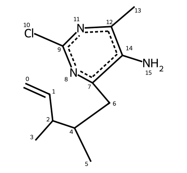 C=CC(C)C(C)Cc1nc(Cl)nc(C)c1N